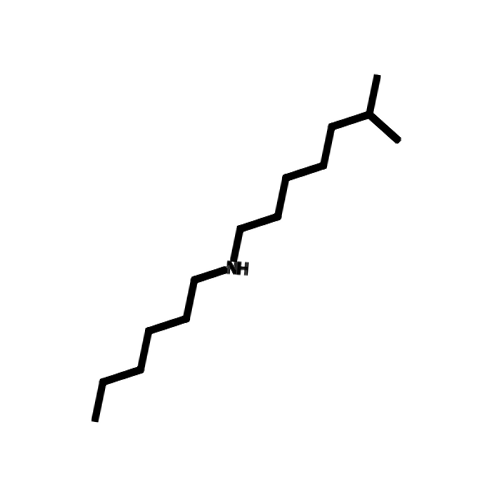 CCCCCCNCCCCCC(C)C